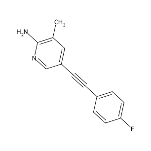 Cc1cc(C#Cc2ccc(F)cc2)cnc1N